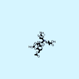 CC(=O)OCC1=C(OC(=O)O)N2C(=O)[C@@H](NC(=O)/C(=N\OC(C)(C)C(=O)O)c3c[se]c(N)n3)[C@H]2SC1